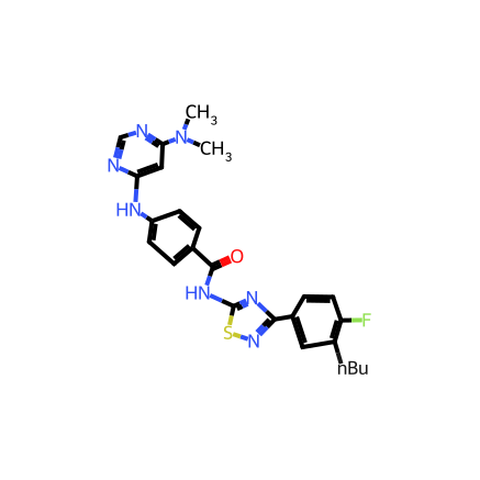 CCCCc1cc(-c2nsc(NC(=O)c3ccc(Nc4cc(N(C)C)ncn4)cc3)n2)ccc1F